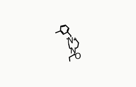 CCC(=O)N1CCC[N+](C)(Cc2cccc(C)c2)CC1